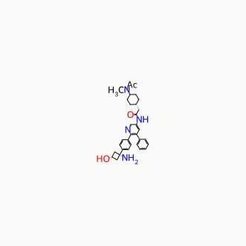 CC(=O)N(C)[C@H]1CC[C@H](CC(=O)Nc2cnc(-c3ccc([C@]4(N)C[C@@H](O)C4)cc3)c(-c3ccccc3)c2)CC1